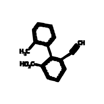 C#Cc1cccc(C(=O)O)c1-c1ccccc1C